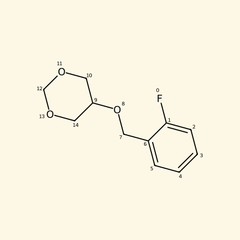 Fc1ccccc1COC1COCOC1